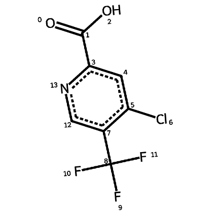 O=C(O)c1cc(Cl)c(C(F)(F)F)cn1